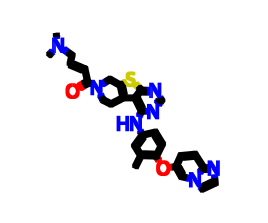 Cc1cc(Nc2ncnc3sc4c(c23)CCN(C(=O)/C=C/CN(C)C)C4)ccc1Oc1ccc2nccn2c1